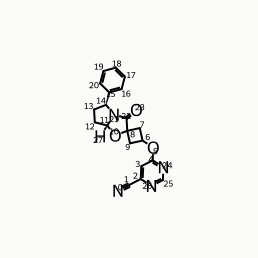 N#Cc1cc(OC2CC3(C2)O[C@@H]2CC[C@@H](c4ccccc4)N2C3=O)ncn1